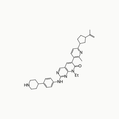 C=C(C)C1CCC(c2ccc(-c3cc4cnc(Nc5ccc(C6CCNCC6)cc5)nc4n(CC)c3=O)c(C)n2)C1